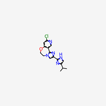 CC(C)c1c[nH]c(-c2cn3c(n2)-c2cnc(Cl)cc2OCC3)n1